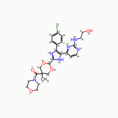 CC1(C(=O)N2CCOCC2)COC(c2nc(-c3ccc(F)cc3)c(-c3ccnc(NCCO)n3)[nH]2)OC1